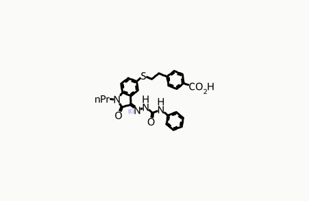 CCCN1C(=O)/C(=N/NC(=O)Nc2ccccc2)c2cc(SCCc3ccc(C(=O)O)cc3)ccc21